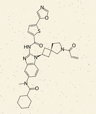 C=CC(=O)N1CC[C@]2(C1)C[C@H](n1c(NC(=O)c3ccc(-c4cnco4)s3)nc3cc(N(C)C(=O)C4CCCCC4)ccc31)C2